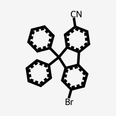 N#Cc1ccc2c(c1)C(c1ccccc1)(c1ccccc1)c1cc(Br)ccc1-2